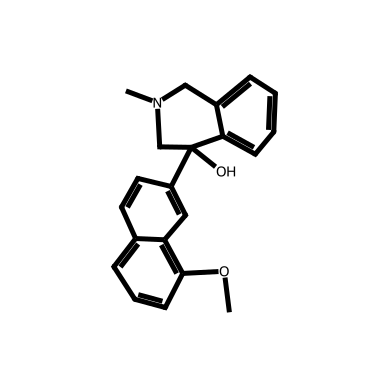 COc1cccc2ccc(C3(O)CN(C)Cc4ccccc43)cc12